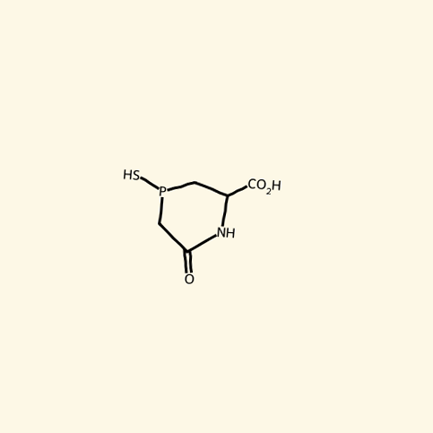 O=C1CP(S)CC(C(=O)O)N1